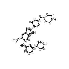 Cc1cc2nc(-c3ccc(CN4CCNCC4)cc3)[nH]c2cc1Nc1nccc(-c2cccnc2)n1